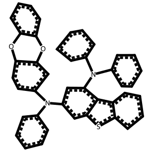 c1ccc(N(c2ccc3c(c2)Oc2ccccc2O3)c2cc(N(c3ccccc3)c3ccccc3)c3c(c2)sc2ccccc23)cc1